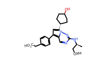 COC[C@H](C)Nc1ncc2c(-c3ccc(CC(=O)O)cc3)cc([C@H]3CC[C@H](O)CC3)n2n1